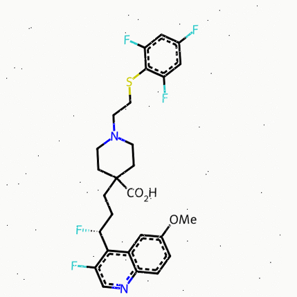 COc1ccc2ncc(F)c([C@H](F)CCC3(C(=O)O)CCN(CCSc4c(F)cc(F)cc4F)CC3)c2c1